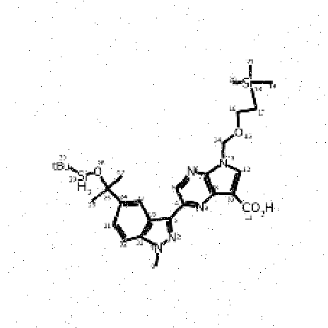 Cn1nc(-c2cnc3c(n2)c(C(=O)O)cn3COCC[Si](C)(C)C)c2cc(C(C)(C)O[SiH2]C(C)(C)C)ccc21